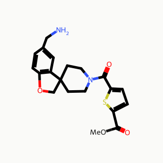 COC(=O)c1ccc(C(=O)N2CCC3(CC2)COc2ccc(CN)cc23)s1